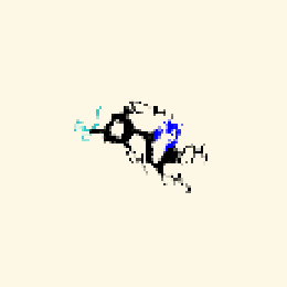 Cc1cc(-c2c(C)cc(C(F)(F)F)cc2C)nnc1C